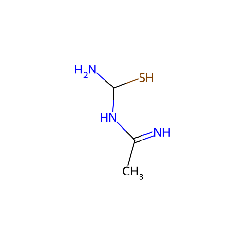 CC(=N)NC(N)S